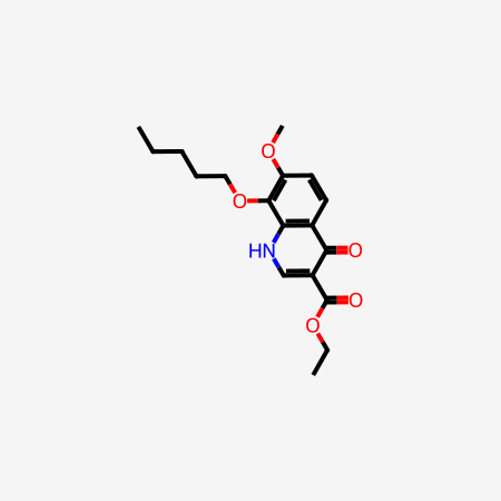 CCCCCOc1c(OC)ccc2c(=O)c(C(=O)OCC)c[nH]c12